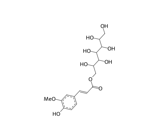 COc1cc(C=CC(=O)OCC(O)C(O)C(O)C(O)C(O)CO)ccc1O